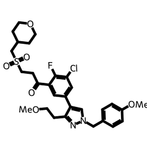 COCCc1nn(Cc2ccc(OC)cc2)cc1-c1cc(Cl)c(F)c(C(=O)CCS(=O)(=O)CC2CCOCC2)c1